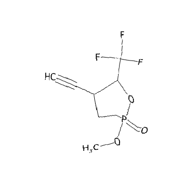 C#CC1CP(=O)(OC)OC1C(F)(F)F